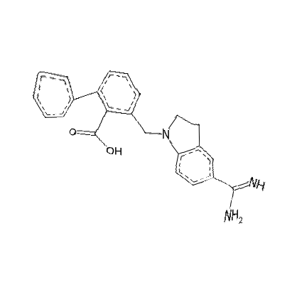 N=C(N)c1ccc2c(c1)CCN2Cc1cccc(-c2ccccc2)c1C(=O)O